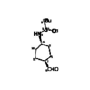 CC(C)(C)[S+]([O-])N[C@H]1CC[C@@H](C=O)CC1